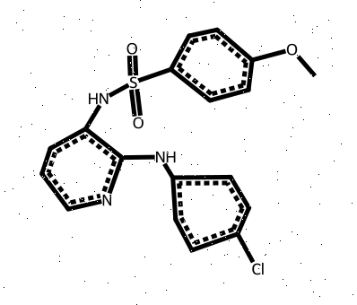 COc1ccc(S(=O)(=O)Nc2cccnc2Nc2ccc(Cl)cc2)cc1